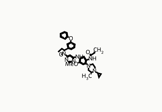 C=CC(=O)Nc1cc(Nc2cc(N3OCCC3c3cccc(Oc4ccccc4)c3)ncn2)c(OC)cc1N1CCN(C2CC2)C(C)C1